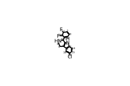 FC1C=CC=C(C2NCCc3c2[nH]c2ccc(Cl)cc32)C1F